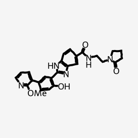 COc1ncccc1-c1ccc(O)c(-c2nc3cc(C(=O)NCCN4CCCC4=O)ccc3[nH]2)c1